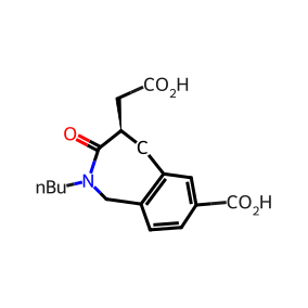 CCCCN1Cc2ccc(C(=O)O)cc2C[C@H](CC(=O)O)C1=O